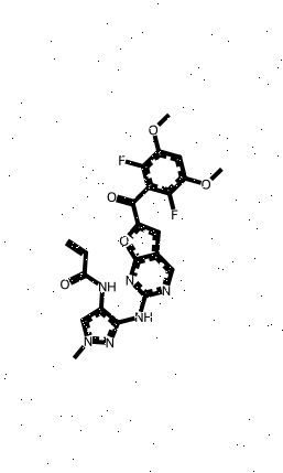 C=CC(=O)Nc1cn(C)nc1Nc1ncc2cc(C(=O)c3c(F)c(OC)cc(OC)c3F)oc2n1